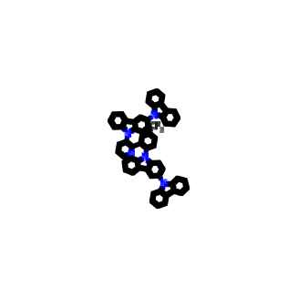 FC(F)(F)c1ccc(-n2c3ccccc3c3cc(-n4c5ccccc5c5ccccc54)ccc32)c(-c2ncccc2-n2c3ccccc3c3cc(-n4c5ccccc5c5ccccc54)ccc32)c1